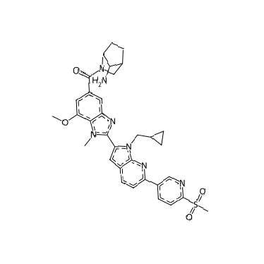 COc1cc(C(=O)N2CC3CCC2C3N)cc2nc(-c3cc4ccc(-c5ccc(S(C)(=O)=O)nc5)nc4n3CC3CC3)n(C)c12